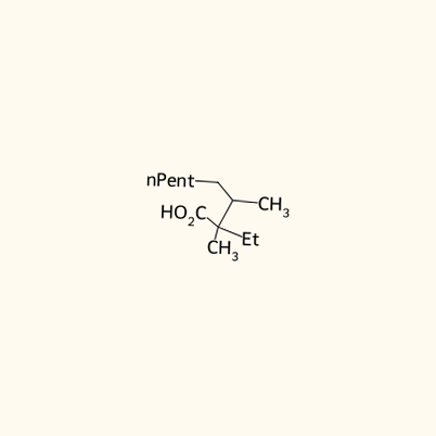 CCCCCCC(C)C(C)(CC)C(=O)O